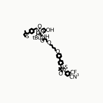 Cc1ccsc1-c1ccc(CNC(=O)[C@@H]2C[C@@H](O)CN2C(=O)[C@@H](NC(=O)CCOCCCCCOc2ccc(-c3ccc(N4C(=S)N(c5ccc(C#N)c(C(F)(F)F)c5)C(=O)C4(C)C)cc3)cc2)C(C)(C)C)cc1